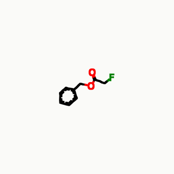 O=C(CF)OCc1ccccc1